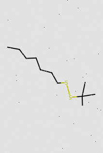 CCCCCCCSSC(C)(C)C